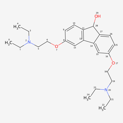 CCN(CC)CCOc1ccc2c(c1)-c1cc(OCCN(CC)CC)ccc1C2O